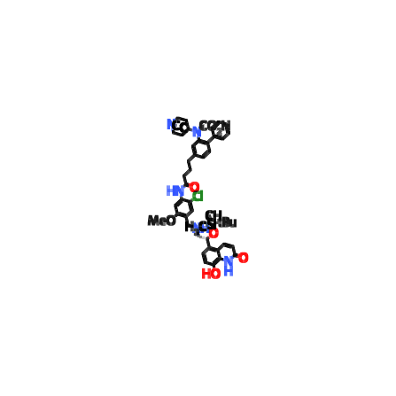 COc1cc(NC(=O)CCCc2ccc(-c3ccccc3)c(N(C(=O)O)C34CCN(CC3)CC4)c2)c(Cl)cc1CNC[C@H](O[Si](C)(C)C(C)(C)C)c1ccc(O)c2[nH]c(=O)ccc12